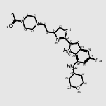 CC(=O)N1CCN(CCC2CSC(c3cc4cc(F)cc(NC5CCOCC5)c4[nH]3)=N2)CC1